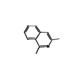 Cc1cc2c[c]ccc2c(C)n1